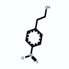 [O-][N+](=S)c1ccc(CCO)cc1